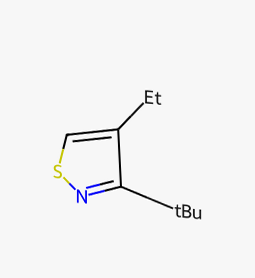 CCc1csnc1C(C)(C)C